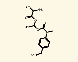 CC(=O)OCc1ccc(N(C)C(=O)OC(OC(=O)C(N)C(C)C)C(C)C)cc1